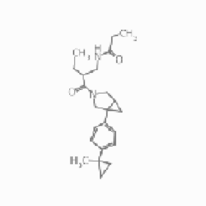 CCC(=O)NCC(CC)C(=O)N1CC2CC2(c2ccc(C3(C)CC3)cc2)C1